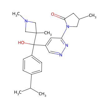 CC1CC(=O)N(c2cc(C(O)(c3ccc(C(C)C)cc3)C3(C)CN(C)C3)cnn2)C1